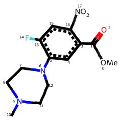 COC(=O)c1cc(N2CCN(C)CC2)c(F)cc1[N+](=O)[O-]